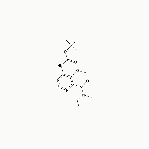 CCN(C)C(=O)c1nccc(NC(=O)OC(C)(C)C)c1OC